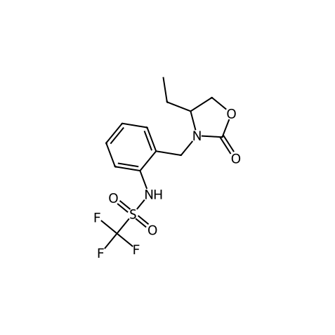 CCC1COC(=O)N1Cc1ccccc1NS(=O)(=O)C(F)(F)F